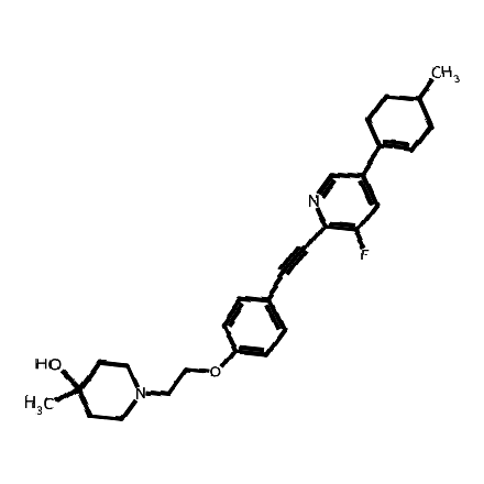 CC1CC=C(c2cnc(C#Cc3ccc(OCCN4CCC(C)(O)CC4)cc3)c(F)c2)CC1